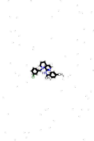 Cc1ccc(C(C)Nc2nccc3c2N(Cc2cccc(Cl)c2)CCC3)cc1